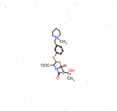 C[C@@H](O)[C@H]1C(=O)N2C(C(=O)[O-])C(Sc3cccc(C[N+]4(C)CCCCC4)c3)S[C@H]12